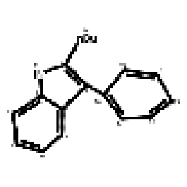 CCCCc1[nH]c2ccccc2c1-c1ccccc1